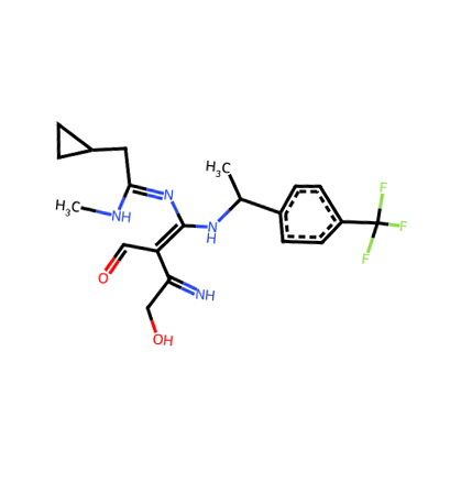 CN/C(CC1CC1)=N\C(NC(C)c1ccc(C(F)(F)F)cc1)=C(/C=O)C(=N)CO